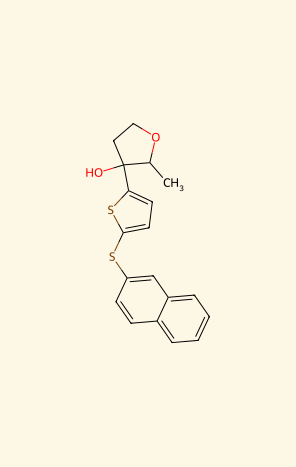 CC1OCCC1(O)c1ccc(Sc2ccc3ccccc3c2)s1